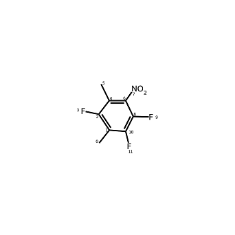 Cc1c(F)c(C)c([N+](=O)[O-])c(F)c1F